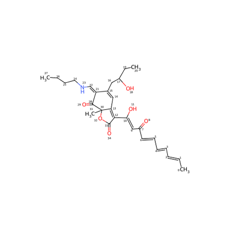 C/C=C/C=C/C=C/C(=O)/C=C(\O)C1=C2C=C(CC(O)CC)/C(=C/NCCCC)C(=O)C2(C)OC1=O